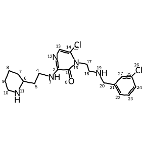 O=c1c(NCCC2CCCCN2)ncc(Cl)n1CCNCc1cccc(Cl)c1